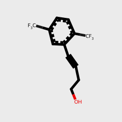 OCCC#Cc1cc(C(F)(F)F)ccc1C(F)(F)F